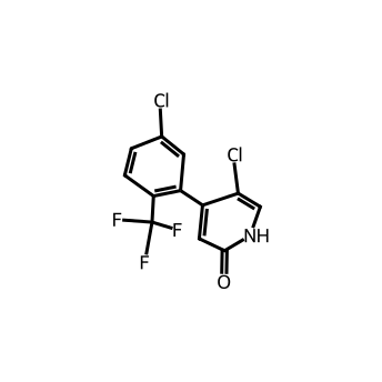 O=c1cc(-c2cc(Cl)ccc2C(F)(F)F)c(Cl)c[nH]1